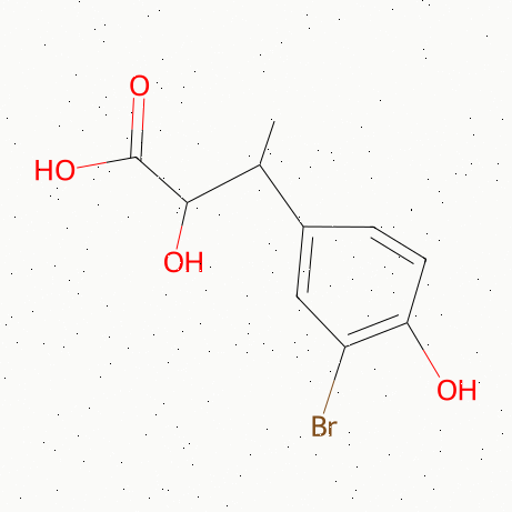 CC(c1ccc(O)c(Br)c1)C(O)C(=O)O